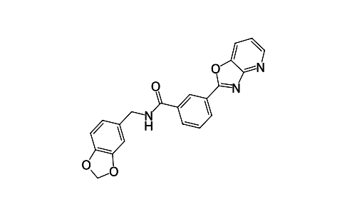 O=C(NCc1ccc2c(c1)OCO2)c1cccc(-c2nc3ncccc3o2)c1